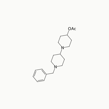 CC(=O)OC1CCN(C2CCN(Cc3ccccc3)CC2)CC1